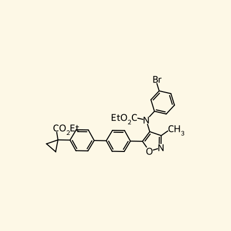 CCOC(=O)N(c1cccc(Br)c1)c1c(C)noc1-c1ccc(-c2ccc(C3(C(=O)OCC)CC3)cc2)cc1